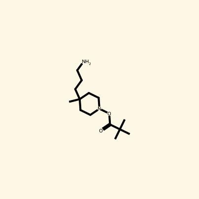 CC1(CCCN)CCN(OC(=O)C(C)(C)C)CC1